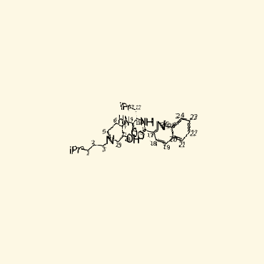 CC(C)CCCN1CCC(NC(=O)[C@H](CC(C)C)NC(=O)c2ccc3ccccc3n2)C(O)C1